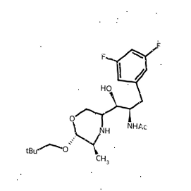 CC(=O)N[C@H](Cc1cc(F)cc(F)c1)[C@H](O)C1CO[C@@H](OCC(C)(C)C)[C@H](C)N1